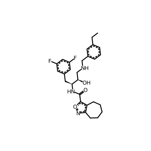 CCc1cccc(CNC[C@@H](O)[C@H](Cc2cc(F)cc(F)c2)NC(=O)c2onc3c2CCCCC3)c1